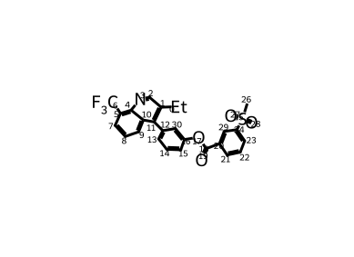 CCc1cnc2c(C(F)(F)F)cccc2c1-c1cccc(OC(=O)c2cccc(S(C)(=O)=O)c2)c1